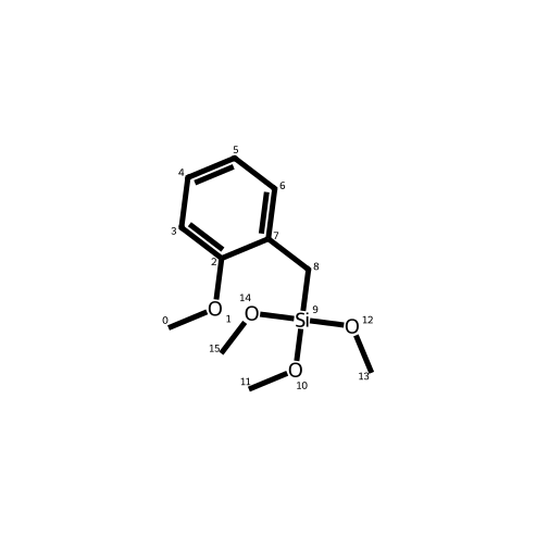 COc1ccccc1C[Si](OC)(OC)OC